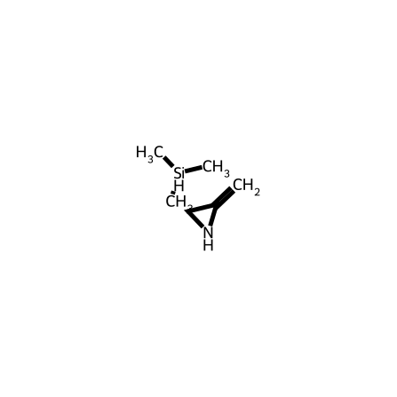 C=C1CN1.C[SiH](C)C